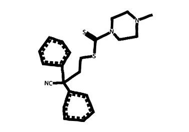 CN1CCN(C(=S)SCCC(C#N)(c2ccccc2)c2ccccc2)CC1